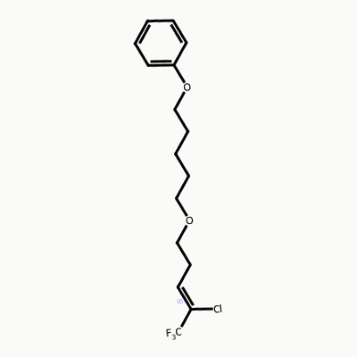 FC(F)(F)/C(Cl)=C/CCOCCCCCOc1ccccc1